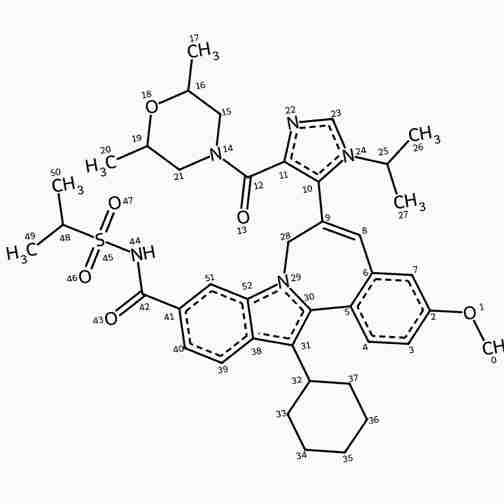 COc1ccc2c(c1)C=C(c1c(C(=O)N3CC(C)OC(C)C3)ncn1C(C)C)Cn1c-2c(C2CCCCC2)c2ccc(C(=O)NS(=O)(=O)C(C)C)cc21